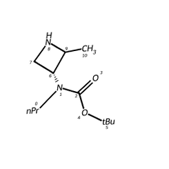 CCCN(C(=O)OC(C)(C)C)[C@@H]1CNC1C